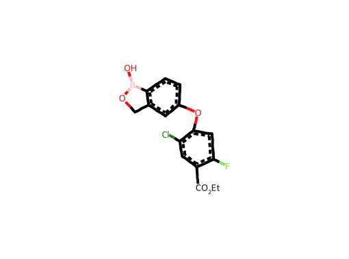 CCOC(=O)c1cc(Cl)c(Oc2ccc3c(c2)COB3O)cc1F